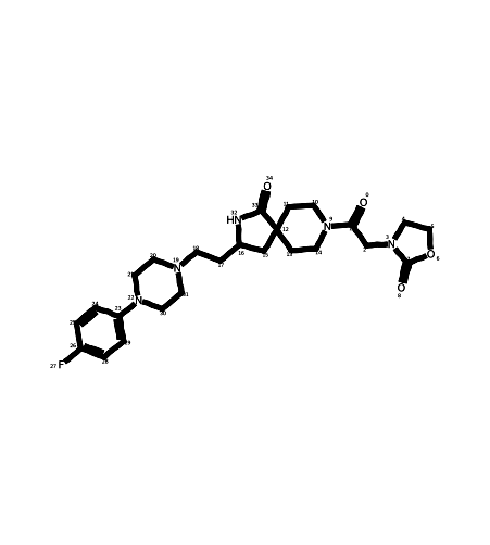 O=C(CN1CCOC1=O)N1CCC2(CC1)CC(CCN1CCN(c3ccc(F)cc3)CC1)NC2=O